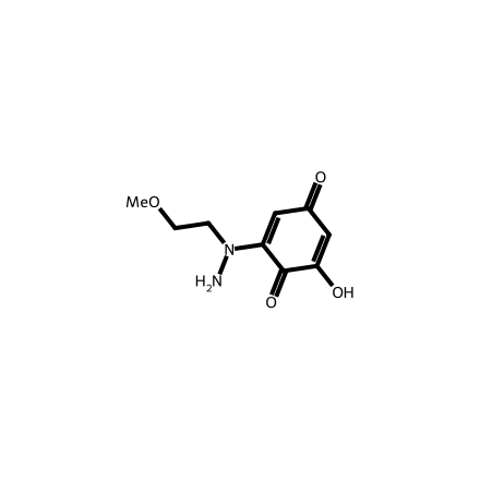 COCCN(N)C1=CC(=O)C=C(O)C1=O